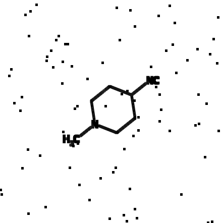 [C-]#[N+]C1CCN(C)CC1